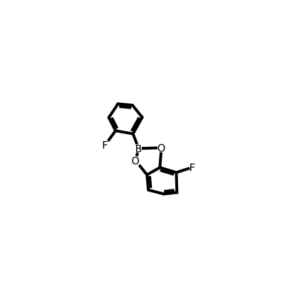 Fc1ccccc1B1Oc2cccc(F)c2O1